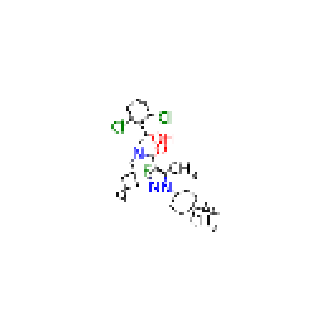 Cc1c(C(=O)N(CC(O)c2c(Cl)cccc2Cl)CC2(F)CC3(CC3)C2)cnn1[C@H]1CC[C@](C)(C(C)=O)CC1